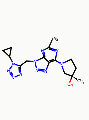 CC(C)(C)c1nc(N2CC[C@](C)(O)C2)c2nnn(Cc3nnnn3C3CC3)c2n1